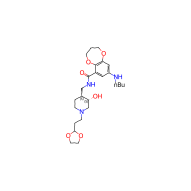 CCCCNc1cc2c(c(C(=O)NC[C@@H]3CCN(CCC4OCCO4)C[C@H]3O)c1)OCCCO2